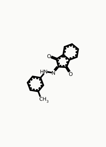 Cc1cccc(NN=c2c(=O)c3ccccc3c2=O)c1